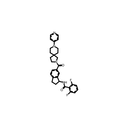 O=C(NC1CCc2ccc(C(=O)N3CCC4(CCN(c5ccncc5)CC4)C3)cc21)c1c(F)cccc1F